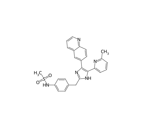 Cc1cccc(-c2[nH]c(Cc3ccc(NS(C)(=O)=O)cc3)nc2-c2ccc3ncccc3c2)n1